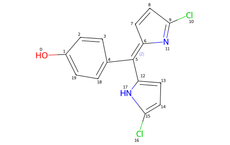 Oc1ccc(/C(=C2\C=CC(Cl)=N2)c2ccc(Cl)[nH]2)cc1